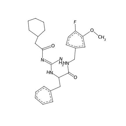 COc1cc(CNC(=O)C(Cc2ccccc2)NC(N)=NC(=O)CC2CCCCC2)ccc1F